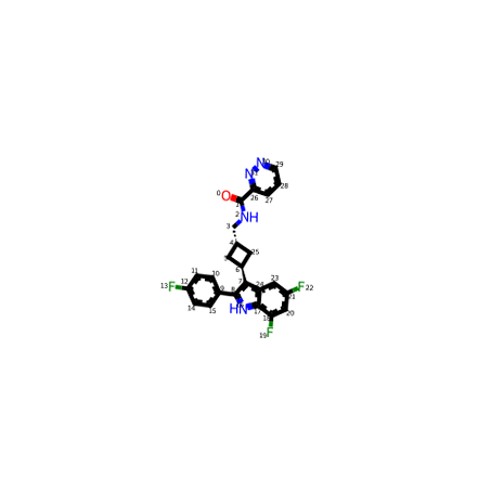 O=C(NC[C@H]1C[C@H](c2c(-c3ccc(F)cc3)[nH]c3c(F)cc(F)cc32)C1)c1cccnn1